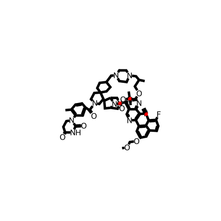 C#Cc1c(F)ccc2cc(OCOC)cc(-c3ncc4c(N5CC6CCC(C5)N6C(=O)OC(C)(C)C)nc(OCC(C)CN5CCN(CC6CCC7(CC6)CCN(C(=O)c6ccc(C)c(N8CCC(=O)NC8=O)c6)CC7)CC5)nc4c3F)c12